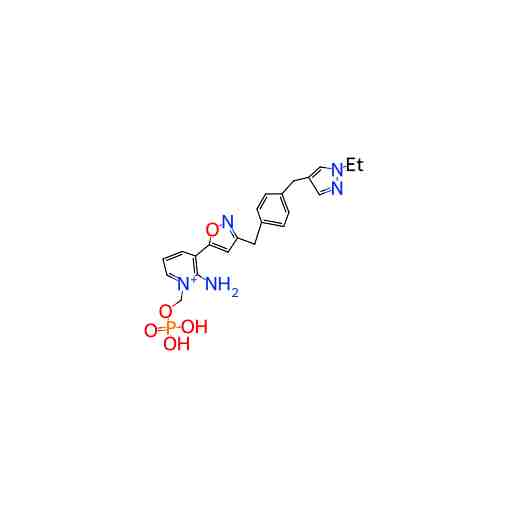 CCn1cc(Cc2ccc(Cc3cc(-c4ccc[n+](COP(=O)(O)O)c4N)on3)cc2)cn1